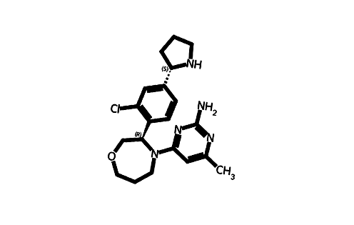 Cc1cc(N2CCCOC[C@H]2c2ccc([C@@H]3CCCN3)cc2Cl)nc(N)n1